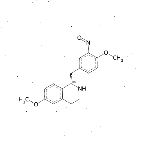 COc1ccc2c(c1)CCN[C@@H]2Cc1ccc(OC)c(N=O)c1